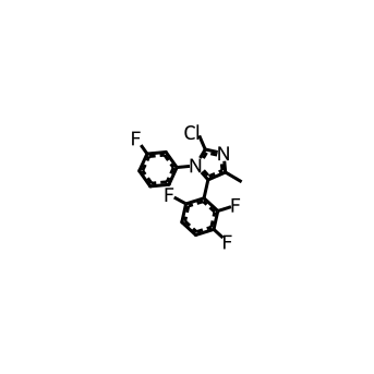 Cc1nc(Cl)n(-c2cccc(F)c2)c1-c1c(F)ccc(F)c1F